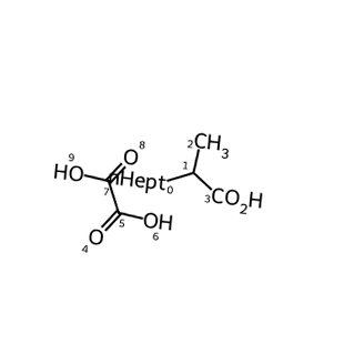 CCCCCCCC(C)C(=O)O.O=C(O)C(=O)O